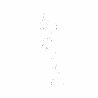 Cc1c(F)c(-c2cccc3c(C)c[nH]c23)cc2c1NC(C)(C)C(OC(=O)NC1CCCC1)[C@H]2C